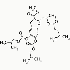 COC(=O)[C@H](Cc1ccc(OC(=O)OCC(C)C)c(OC(=O)OCC(C)C)c1)NCC(C)OC(=O)CCC(C)C